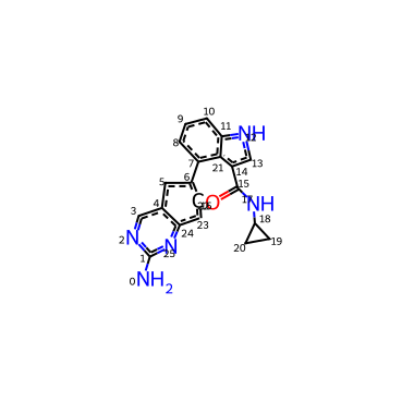 Nc1ncc2cc(-c3cccc4[nH]cc(C(=O)NC5CC5)c34)ccc2n1